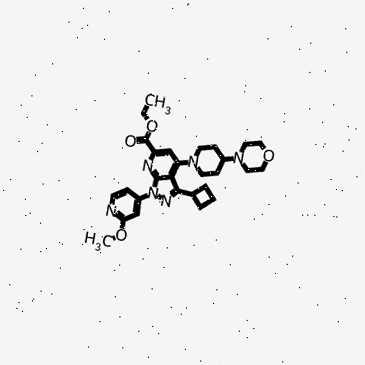 CCOC(=O)c1cc(N2CCC(N3CCOCC3)CC2)c2c(C3CCC3)nn(-c3ccnc(OC)c3)c2n1